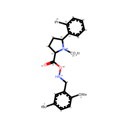 COc1ccc(C(C)(C)C)cc1CNOC(=O)C1CCC(c2ccccc2C(C)C)N1C(=O)O